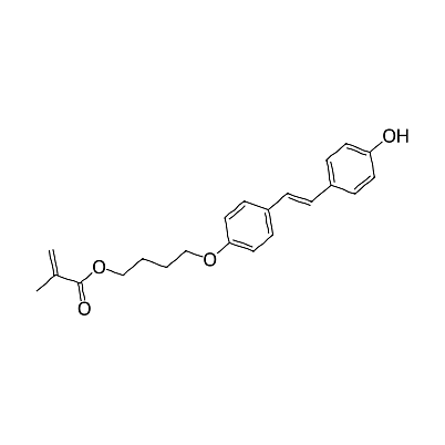 C=C(C)C(=O)OCCCCOc1ccc(/C=C/c2ccc(O)cc2)cc1